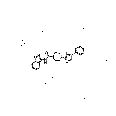 O=C(Nc1noc2ccccc12)N1CCN(c2nc(-c3ccccc3)co2)CC1